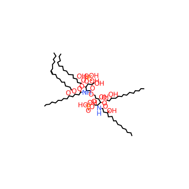 CCCCCC/C=C\CCCCCCCC(=O)OC(CCCCCCCCCCC)CC(=O)N[C@H]1C(OC(=O)CC(O)CCCCCCCCCCC)C(OP(=O)(O)O)C(CO)O[C@H]1OCC1OC(OP(=O)(O)O)[C@@H](NC(=O)CC(O)CCCCCCCCCCC)C(OC(=O)CC(O)CCCCCCCCCCC)[C@@H]1O